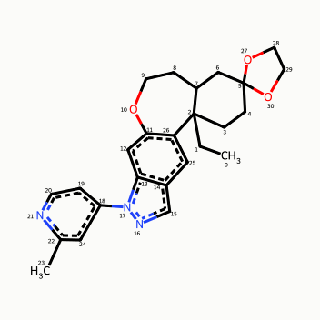 CCC12CCC3(CC1CCOc1cc4c(cnn4-c4ccnc(C)c4)cc12)OCCO3